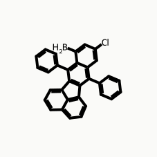 Bc1cc(Cl)cc2c(-c3ccccc3)c3c(c(-c4ccccc4)c12)-c1cccc2cccc-3c12